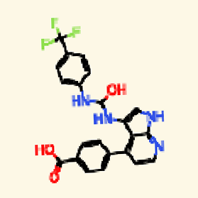 O=C(O)c1ccc(-c2ccnc3[nH]cc(NC(O)Nc4ccc(C(F)(F)F)cc4)c23)cc1